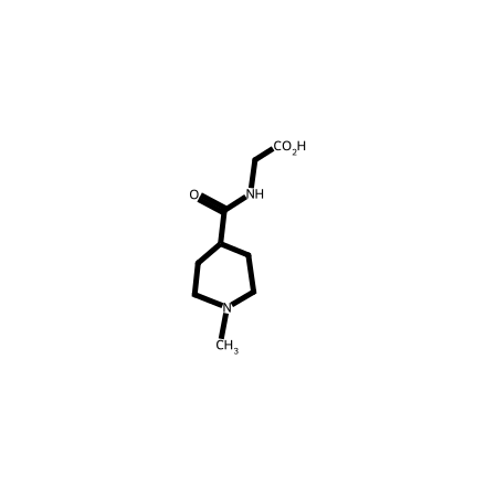 CN1CCC(C(=O)NCC(=O)O)CC1